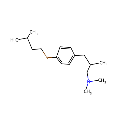 CC(C)CCSc1ccc(CC(C)CN(C)C)cc1